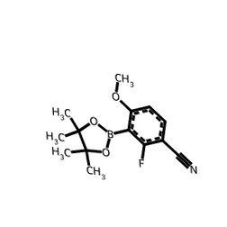 COc1ccc(C#N)c(F)c1B1OC(C)(C)C(C)(C)O1